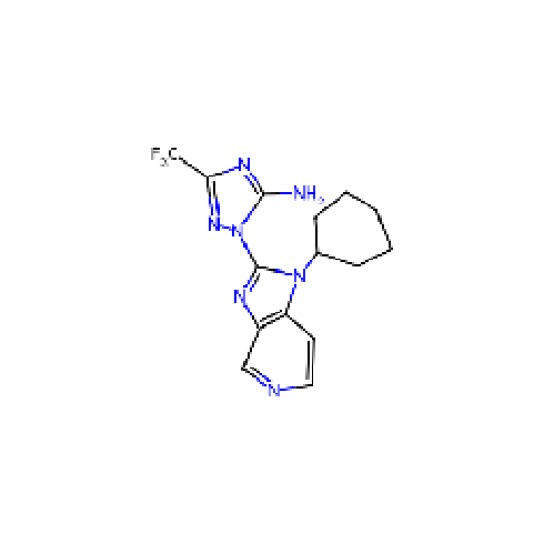 Nc1nc(C(F)(F)F)nn1-c1nc2cnccc2n1C1CCCCC1